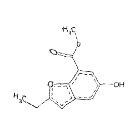 CCc1cc2cc(O)cc(C(=O)OC)c2o1